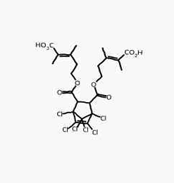 CC(CCOC(=O)C1C(C(=O)OCCC(C)=C(C)C(=O)O)C2(Cl)C(Cl)=C(Cl)C1(Cl)C2(Cl)Cl)=C(C)C(=O)O